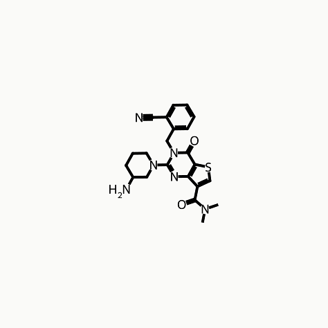 CN(C)C(=O)c1csc2c(=O)n(Cc3ccccc3C#N)c(N3CCCC(N)C3)nc12